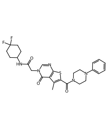 Cc1c(C(=O)N2CCN(c3ccccc3)CC2)sc2ncn(CC(=O)NC3CCC(F)(F)CC3)c(=O)c12